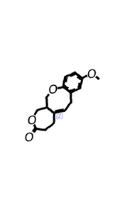 COc1ccc2c(c1)C/C=C1/CCC(=O)OCC1CO2